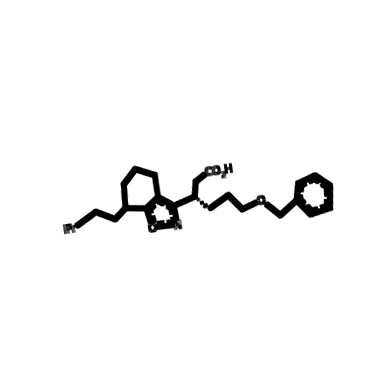 CC(C)CCC1CCCc2c([C@@H](CCCOCc3ccccc3)CC(=O)O)noc21